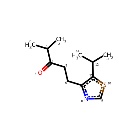 CC(C)C(=O)CCc1ncsc1C(C)C